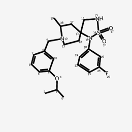 CC(C)Oc1cccc(CN2CCC3(CNS(=O)(=O)N3c3cccc(F)c3)CC2C)c1